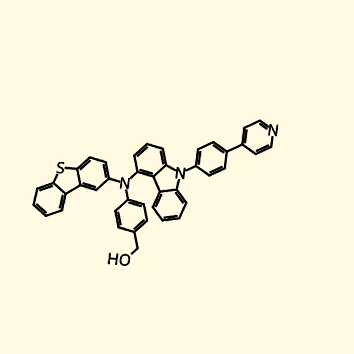 OCc1ccc(N(c2ccc3sc4ccccc4c3c2)c2cccc3c2c2ccccc2n3-c2ccc(-c3ccncc3)cc2)cc1